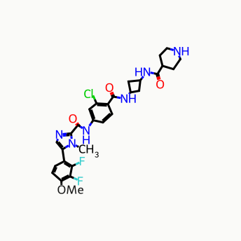 COc1ccc(-c2cnc(C(=O)Nc3ccc(C(=O)NC4CC(NC(=O)C5CCNCC5)C4)c(Cl)c3)n2C)c(F)c1F